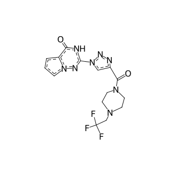 O=C(c1cn(-c2nn3cccc3c(=O)[nH]2)nn1)N1CCN(CC(F)(F)F)CC1